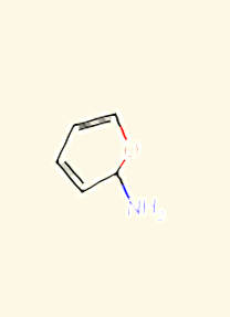 NC1C=CC=CO1